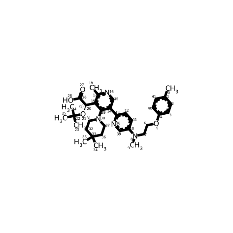 Cc1ccc(OCCN(C)c2ccc(-c3cnc(C)c([C@H](OC(C)(C)C)C(=O)O)c3N3CCC(C)(C)CC3)nc2)cc1